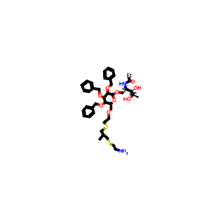 CCC(=O)N[C@@H](COC1OC(COCCSCC(C)CSCCN)C(OCc2ccccc2)C(OCc2ccccc2)C1OCc1ccccc1)[C@H](O)[C@@H](C)O